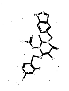 CC1N(Cc2ccc3[nH]ncc3c2)C(=O)C(Br)=C(OCc2ccc(F)cc2F)N1OC(=O)C(F)(F)F